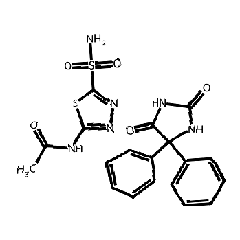 CC(=O)Nc1nnc(S(N)(=O)=O)s1.O=C1NC(=O)C(c2ccccc2)(c2ccccc2)N1